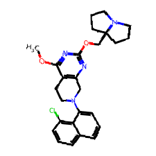 COc1nc(OCC23CCCN2CCC3)nc2c1CCN(c1cccc3cccc(Cl)c13)C2